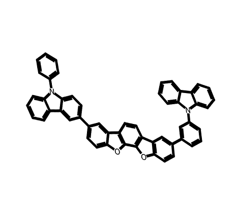 c1ccc(-n2c3ccccc3c3cc(-c4ccc5oc6c(ccc7c8cc(-c9cccc(-n%10c%11ccccc%11c%11ccccc%11%10)c9)ccc8oc76)c5c4)ccc32)cc1